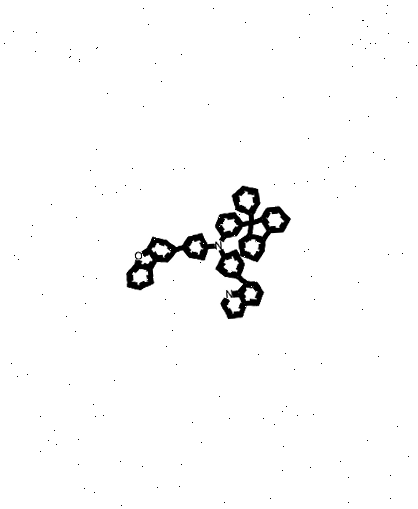 c1ccc(C2(c3cccc(N(c4ccc(-c5ccc6oc7ccccc7c6c5)cc4)c4ccc(-c5cccc6cccnc56)cc4)c3)c3ccccc3-c3ccccc32)cc1